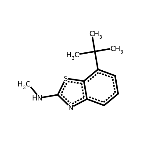 CNc1nc2cccc(C(C)(C)C)c2s1